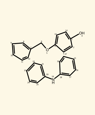 Oc1ccc(OCc2ccccc2)cc1.c1ccc(Nc2ccccc2)cc1